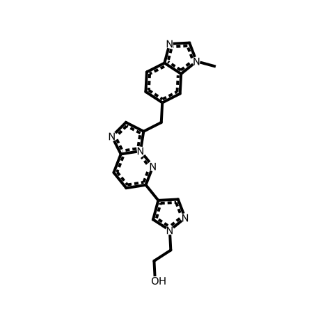 Cn1cnc2ccc(Cc3cnc4ccc(-c5cnn(CCO)c5)nn34)cc21